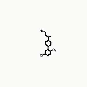 COc1ccc(Cl)cc1-c1ccc(C(C)=CCO)cc1